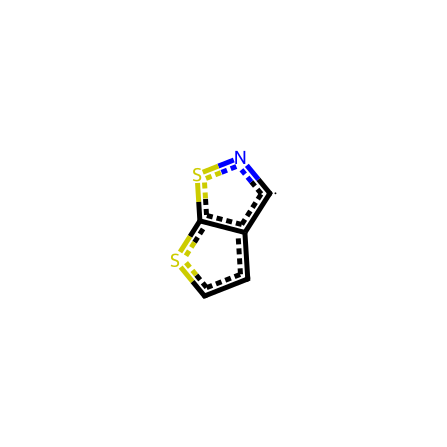 [c]1nsc2sccc12